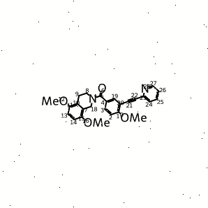 COc1ccc(C(=O)N2CCc3c(OC)ccc(OC)c3C2)cc1C#Cc1ccccn1